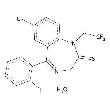 Fc1ccccc1C1=NCC(=S)N(CC(F)(F)F)c2ccc(Cl)cc21.O